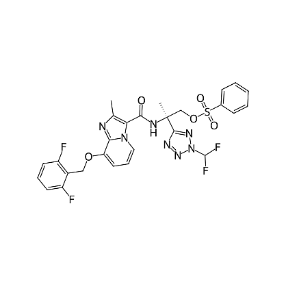 Cc1nc2c(OCc3c(F)cccc3F)cccn2c1C(=O)N[C@@](C)(COS(=O)(=O)c1ccccc1)c1nnn(C(F)F)n1